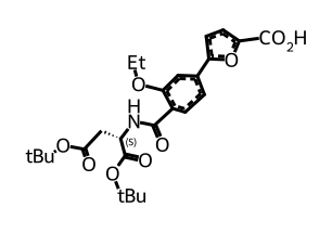 CCOc1cc(-c2ccc(C(=O)O)o2)ccc1C(=O)N[C@@H](CC(=O)OC(C)(C)C)C(=O)OC(C)(C)C